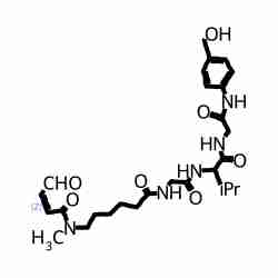 CC(C)C(NC(=O)CNC(=O)CCCCCN(C)C(=O)/C=C\C=O)C(=O)NCC(=O)Nc1ccc(CO)cc1